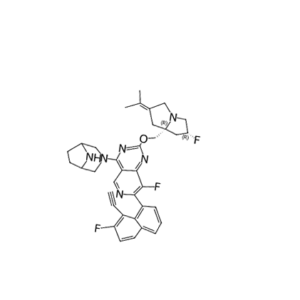 C#Cc1c(F)ccc2cccc(-c3ncc4c(N5CC6CCC(C5)N6)nc(OC[C@]56CC(=C(C)C)CN5C[C@H](F)C6)nc4c3F)c12